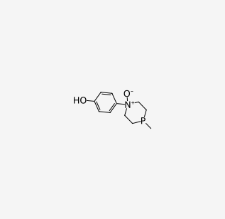 CP1CC[N+]([O-])(c2ccc(O)cc2)CC1